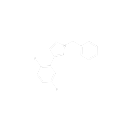 Fc1ccc(F)c(-c2ccn(Cc3ccccc3)c2)c1